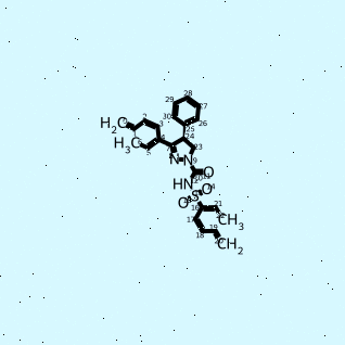 C=C/C=C\C(=C/C)C1=NN(C(=O)NS(=O)(=O)C(/C=C\C=C)=C/C)C[C@@H]1c1ccccc1